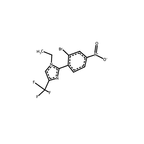 CCn1cc(C(F)(F)F)nc1-c1ccc([N+](=O)[O-])cc1Br